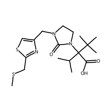 CSCc1nc(CN2CCN(C(C(=O)O)(C(C)C)C(C)(C)C)C2=O)cs1